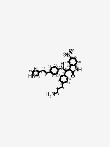 NCCCc1ccc(C(Nc2ccc(C=Cc3c[nH]cn3)cc2)=C2C(=O)Nc3ccc([N+](=O)[O-])cc32)cc1